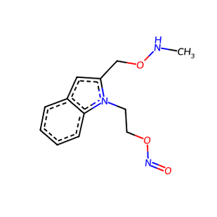 CNOCc1cc2ccccc2n1CCON=O